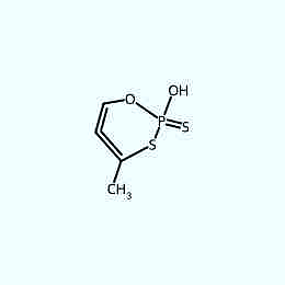 CC1=C=COP(O)(=S)S1